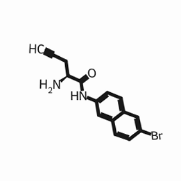 C#CC[C@H](N)C(=O)Nc1ccc2cc(Br)ccc2c1